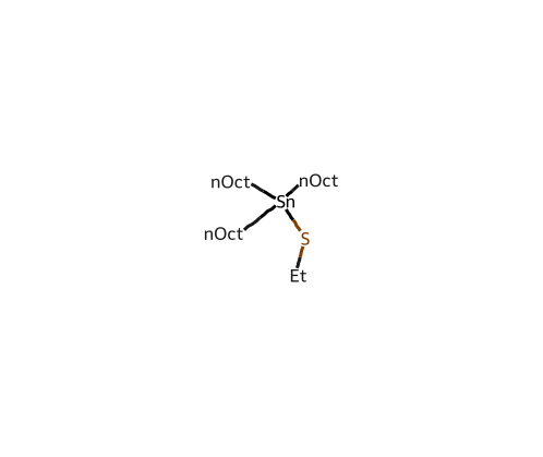 CCCCCCC[CH2][Sn]([CH2]CCCCCCC)([CH2]CCCCCCC)[S]CC